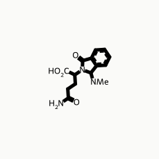 CNC1c2ccccc2C(=O)N1C(CCC(N)=O)C(=O)O